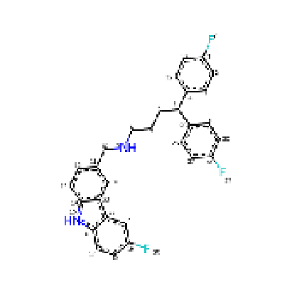 Fc1ccc(C(CCCNCc2ccc3[nH]c4ccc(F)cc4c3c2)c2ccc(F)cc2)cc1